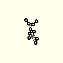 c1ccc(-c2ccc3c(c2)c2cc(-c4ccccc4)ccc2n3-c2ccc3c4ccccc4c4c(-c5nc(-c6ccccc6)nc(-c6cccc7c6oc6ccccc67)n5)cccc4c3c2)cc1